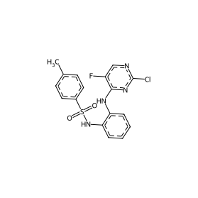 Cc1ccc(S(=O)(=O)Nc2ccccc2Nc2nc(Cl)ncc2F)cc1